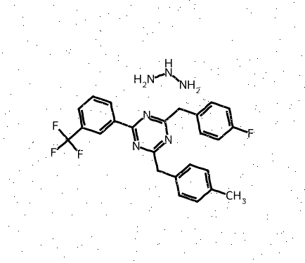 Cc1ccc(Cc2nc(Cc3ccc(F)cc3)nc(-c3cccc(C(F)(F)F)c3)n2)cc1.NNN